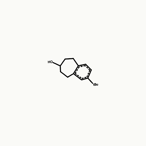 CC(C)(C)c1ccc2c(c1)CCC(O)CC2